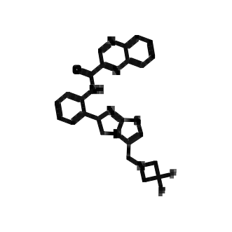 O=C(Nc1ccccc1C1CN2C(CN3CC(F)(F)C3)=CSC2=N1)c1cnc2ccccc2n1